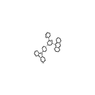 c1ccc(-c2cc(-c3ccc(-n4c5ccccc5c5cnccc54)cc3)cc(-c3c4ccccc4cc4ccccc34)n2)nc1